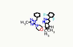 Cc1nc(N2CCO[C@@H](C34CC[C@@H](c5cc(-c6c(F)cccc6F)nnc53)C4(C)C)C2)n(Cc2ccccc2)n1